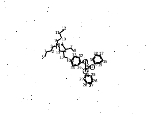 CCCC[N+](CCCC)(CCCC)CCCC.c1ccc(OB(Oc2ccccc2)Oc2ccccc2)cc1